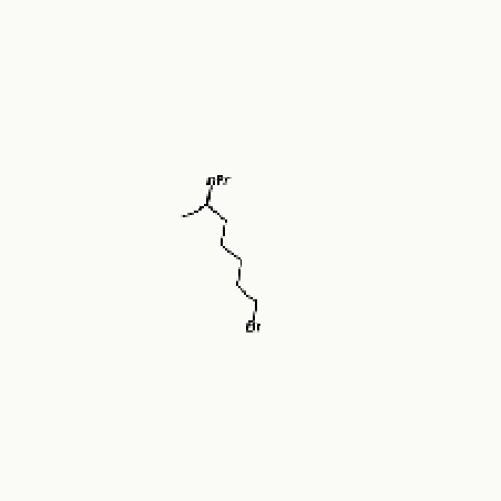 CCCC(C)CCCCCBr